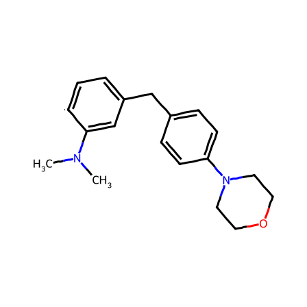 CN(C)c1[c]ccc(Cc2ccc(N3CCOCC3)cc2)c1